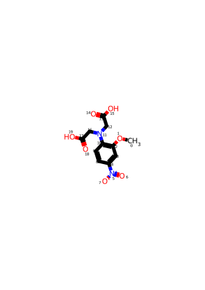 COc1cc([N+](=O)[O-])ccc1N(CC(=O)O)CC(=O)O